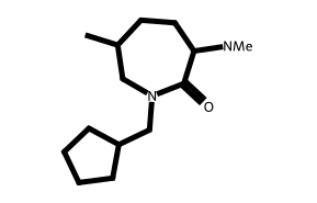 CNC1CCC(C)CN(CC2CCCC2)C1=O